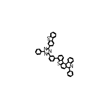 c1ccc(-c2nc(-c3cccc(-c4cccc5c4sc4ccc6c(-c7ccccc7)nc7ccccc7c6c45)c3)nc(-c3ccc4c(c3)sc3ccccc34)n2)cc1